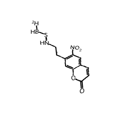 [2H]BSNCCc1cc2oc(=O)ccc2cc1[N+](=O)[O-]